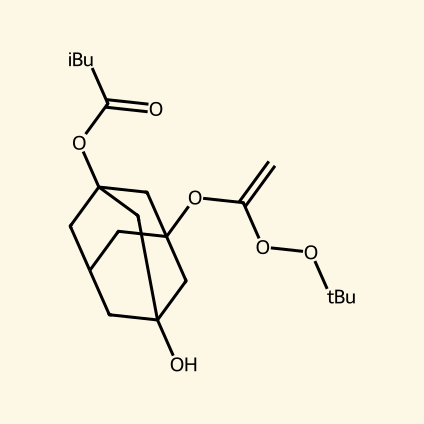 C=C(OOC(C)(C)C)OC12CC3CC(O)(C1)CC(OC(=O)C(C)CC)(C3)C2